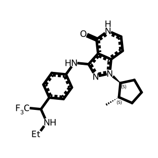 CCNC(c1ccc(Nc2nn([C@H]3CCC[C@@H]3C)c3cc[nH]c(=O)c23)cc1)C(F)(F)F